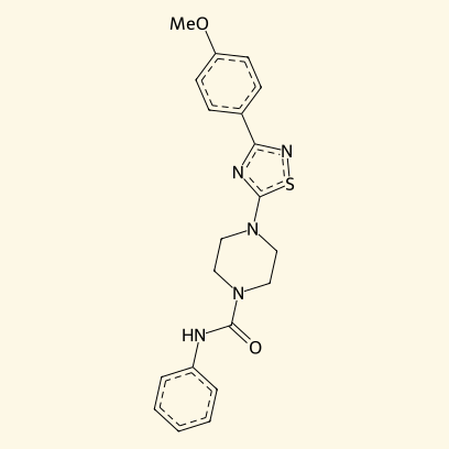 COc1ccc(-c2nsc(N3CCN(C(=O)Nc4ccccc4)CC3)n2)cc1